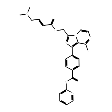 CN(C)CC=CC(=O)NCc1nc(-c2ccc(C(=O)Nc3ccccn3)cc2)c2c(N)nccn12